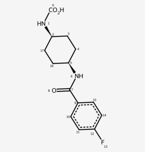 O=C(O)N[C@H]1CC[C@@H](NC(=O)c2ccc(F)cc2)CC1